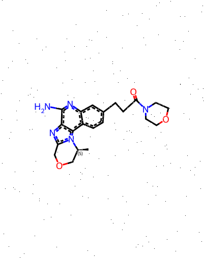 C[C@H]1COCc2nc3c(N)nc4cc(CCC(=O)N5CCOCC5)ccc4c3n21